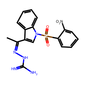 C/C(=N/NC(=N)N)c1cn(S(=O)(=O)c2ccccc2[N+](=O)[O-])c2ccccc12